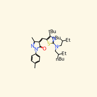 CCCCC(CC)CN(CC(CC)CCCC)c1nc(C(C)(C)C)c(/C=C2\C(=O)N(c3ccc(C)cc3)N=C2C)s1